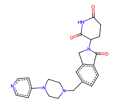 O=C1CCC(N2Cc3cc(CN4CCN(c5ccncc5)CC4)ccc3C2=O)C(=O)N1